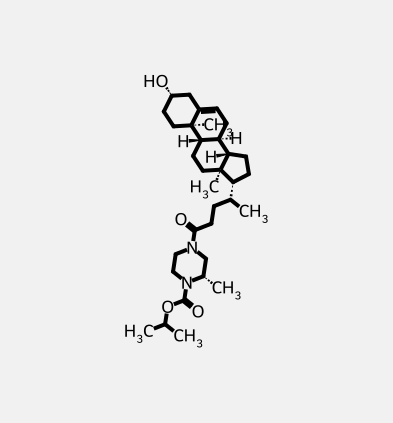 CC(C)OC(=O)N1CCN(C(=O)CCC(C)[C@H]2CC[C@H]3[C@@H]4CC=C5C[C@@H](O)CC[C@]5(C)[C@H]4CC[C@]23C)C[C@@H]1C